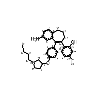 Nc1ccc2c(c1)C(c1ccc(OC3CCN(CCCF)C3)cc1)=C(c1ccc(F)cc1O)CCC2